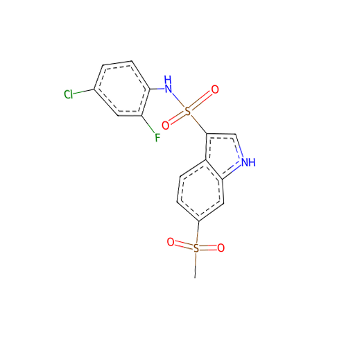 CS(=O)(=O)c1ccc2c(S(=O)(=O)Nc3ccc(Cl)cc3F)c[nH]c2c1